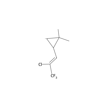 CC1(C)[CH]C1C=C(Cl)C(F)(F)F